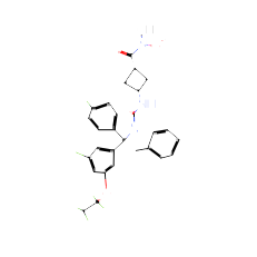 CON(C)C(=O)[C@H]1C[C@@H](NC(=O)N[C@](Cc2ccccc2)(c2ccc(F)cc2)c2cc(F)cc(OC(F)(F)C(F)F)c2)C1